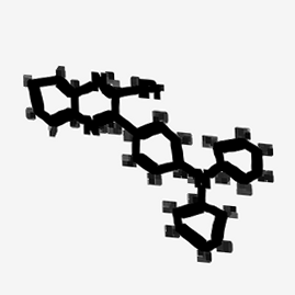 CC(C)c1nc2ccccc2nc1-c1ccc(N(c2ccccc2)c2ccccc2)cc1